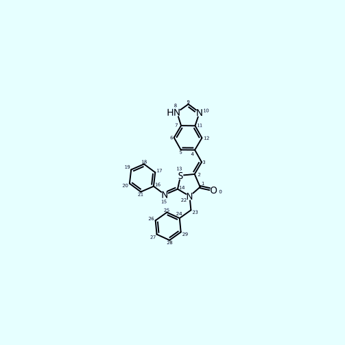 O=C1C(=Cc2ccc3[nH]cnc3c2)SC(=Nc2ccccc2)N1Cc1ccccc1